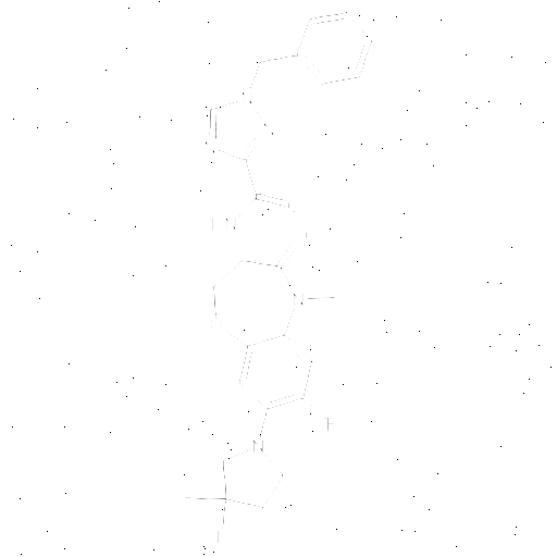 CN1C(=O)[C@@H](NC(=O)c2ncn(Cc3ccccc3)n2)COc2cc(N3CCC(F)(F)C3)c(F)cc21